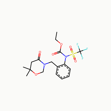 CCOC(=O)N(c1ccccc1CN1COC(C)(C)CC1=O)S(=O)(=O)C(F)(F)F